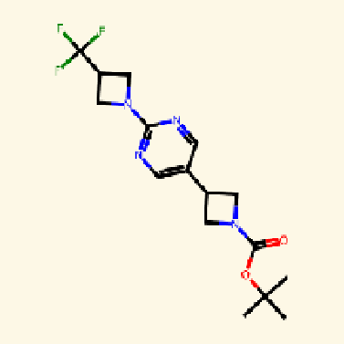 CC(C)(C)OC(=O)N1CC(c2cnc(N3CC(C(F)(F)F)C3)nc2)C1